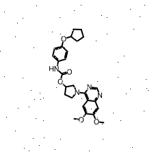 COc1cc2ncnc(N3CCC(OC(=O)Nc4ccc(OC5CCCC5)cc4)C3)c2cc1OC